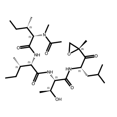 CC[C@H](C)[C@H](NC(=O)[C@H]([C@@H](C)CC)N(C)C(C)=O)C(=O)N[C@H](C(=O)N[C@@H](CC(C)C)C(=O)[C@@]1(C)CO1)[C@H](C)O